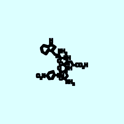 NC(=O)C[C@H](NC(=O)[C@H](CCC(=O)O)NC(=O)[C@@H](N)Cc1c[nH]c2ccccc12)C(=O)Nc1ccc([N+](=O)[O-])cc1